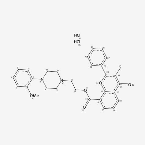 COc1ccccc1N1CCN(CCOC(=O)c2cccc3c(=O)c(C)c(-c4ccccc4)oc23)CC1.Cl.Cl